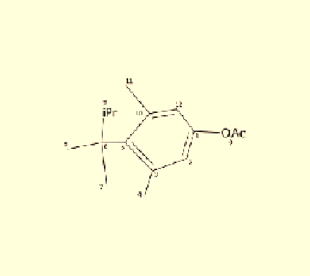 CC(=O)Oc1cc(C)c(C(C)(C)C(C)C)c(C)c1